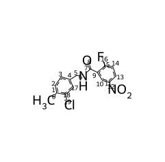 Cc1ccc(CNC(=O)c2cc([N+](=O)[O-])ccc2F)cc1Cl